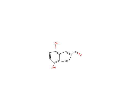 O=Cc1ccc2c(O)ccc(O)c2c1